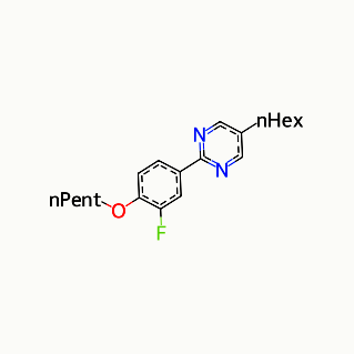 CCCCCCc1cnc(-c2ccc(OCCCCC)c(F)c2)nc1